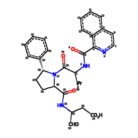 CC(C)C(NC(=O)c1nccc2ccccc12)C(=O)N1C(C(=O)NC(C=O)CC(=O)O)CC[C@@H]1c1ccccc1